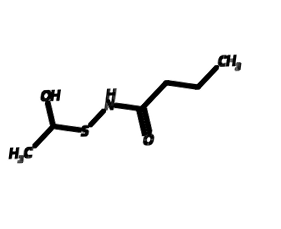 CCCC(=O)NSC(C)O